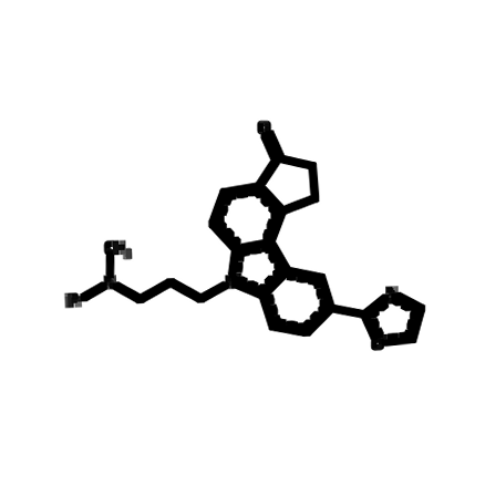 CC(C)N(C)CCCn1c2ccc(-c3ncco3)cc2c2c3c(ccc21)C(=O)CC3